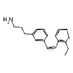 CCC1=C(/C=C\c2cccc(CCCN)c2)C=CCC1